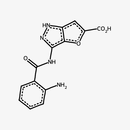 Nc1ccccc1C(=O)Nc1n[nH]c2cc(C(=O)O)oc12